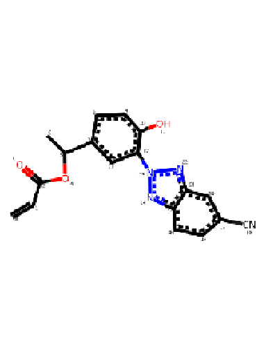 C=CC(=O)OC(C)c1ccc(O)c(-n2nc3ccc(C#N)cc3n2)c1